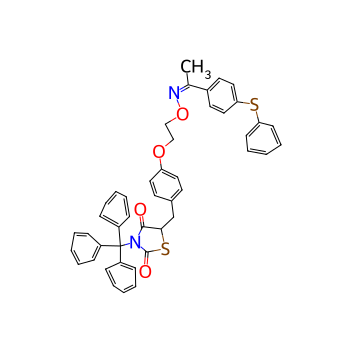 C/C(=N/OCCOc1ccc(CC2SC(=O)N(C(c3ccccc3)(c3ccccc3)c3ccccc3)C2=O)cc1)c1ccc(Sc2ccccc2)cc1